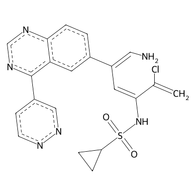 C=C(Cl)/C(=C\C(=C/N)c1ccc2ncnc(-c3ccnnc3)c2c1)NS(=O)(=O)C1CC1